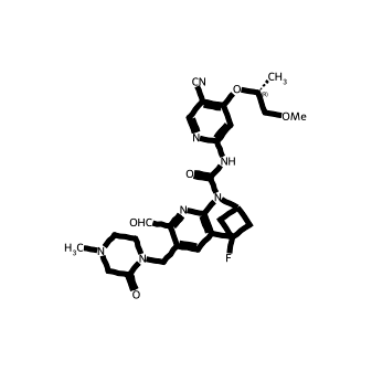 COC[C@@H](C)Oc1cc(NC(=O)N2c3nc(C=O)c(CN4CCN(C)CC4=O)cc3C3(F)CC2C3)ncc1C#N